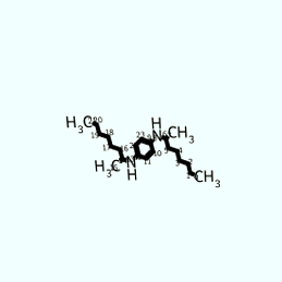 CCCCCCC(C)Nc1ccc(NC(C)CCCCCC)cc1